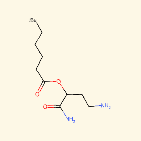 CCC(C)CCCCC(=O)OC(CCN)C(N)=O